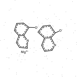 [Mg+2].[O-]c1cccc2cccnc12.[O-]c1cccc2cccnc12